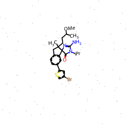 COC(C)CCC1(C)Cc2ccc(-c3cc(Br)cs3)cc2C12N=C(N)N(C(C)C)C2=O